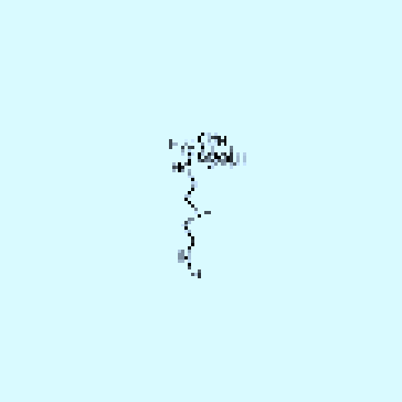 CC(=O)O.CC(=O)O.CC(=O)O.CCNCCNCCO